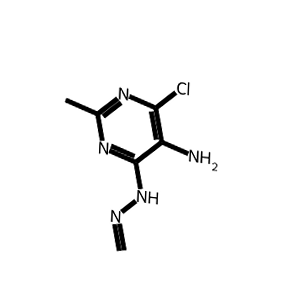 C=NNc1nc(C)nc(Cl)c1N